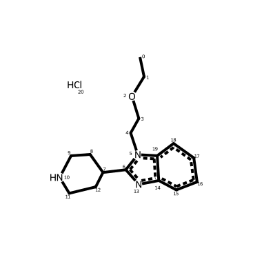 CCOCCn1c(C2CCNCC2)nc2ccccc21.Cl